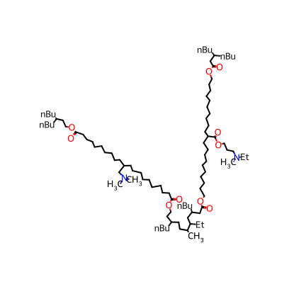 CCCCC(CCCC)CCOC(=O)CCCCCCCCCC(CCCCCCCCCC(=O)OCCC(CCCC)CCC(C)C(CC)CC(CCCC)CC(=O)OCCCCCCCCCCC(CCCCCCCCCCOC(=O)CC(CCCC)CCCC)C(=O)OCCCN(C)CC)CN(C)C